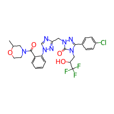 CC1CN(C(=O)c2ccccc2-n2cnc(Cn3nc(-c4ccc(Cl)cc4)n(CC(O)C(F)(F)F)c3=O)n2)CCO1